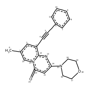 Cc1cc(C#Cc2ccccc2)c2nc(N3CCOCC3)cc(=O)n2c1